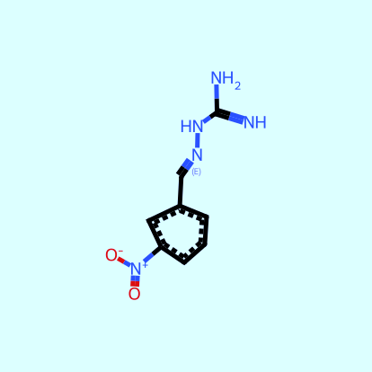 N=C(N)N/N=C/c1cccc([N+](=O)[O-])c1